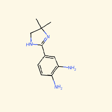 CC1(C)CNC(c2ccc(N)c(N)c2)=N1